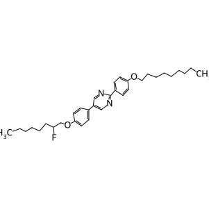 CCCCCCCCCOc1ccc(-c2ncc(-c3ccc(OCC(F)CCCCCC)cc3)cn2)cc1